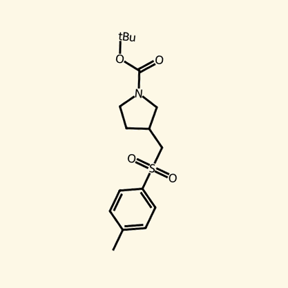 Cc1ccc(S(=O)(=O)CC2CCN(C(=O)OC(C)(C)C)C2)cc1